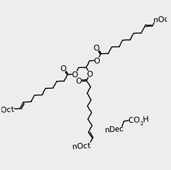 CCCCCCCC/C=C/CCCCCCCC(=O)OCC(COC(=O)CCCCCCC/C=C/CCCCCCCC)OC(=O)CCCCCCC/C=C/CCCCCCCC.CCCCCCCCCCCC(=O)O